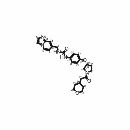 O=C(NCc1ccn2ccnc2c1)Nc1ccc(O[C@@H]2CCN(C(=O)CC3CCOCC3)C2)cc1